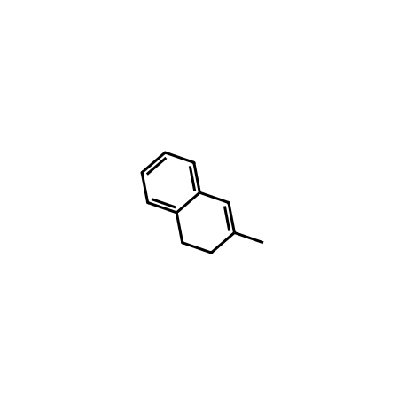 CC1=Cc2ccccc2CC1